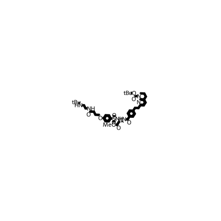 COC(=O)[C@@H](CNC(=O)c1ccc(CCc2ccc3c(n2)N(C(=O)OC(C)(C)C)CCC3)cc1)NS(=O)(=O)c1ccc(OCCCC(=O)NCCNC(C)(C)C)cc1